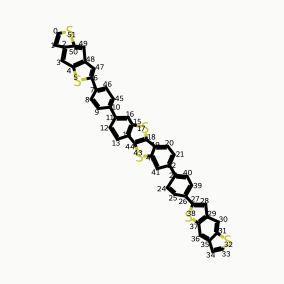 c1cc2cc3sc(-c4ccc(-c5ccc6c(c5)sc5c7ccc(-c8ccc(-c9cc%10cc%11sccc%11cc%10s9)cc8)cc7sc65)cc4)cc3cc2s1